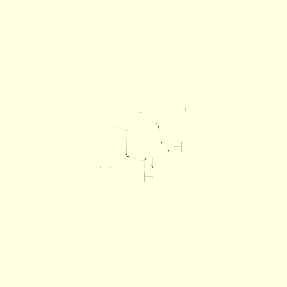 CC1CC(=O)NNC1=O